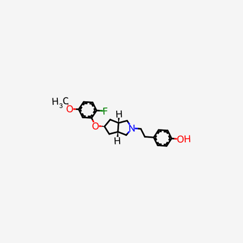 COc1ccc(F)c(O[C@H]2C[C@@H]3CN(CCc4ccc(O)cc4)C[C@@H]3C2)c1